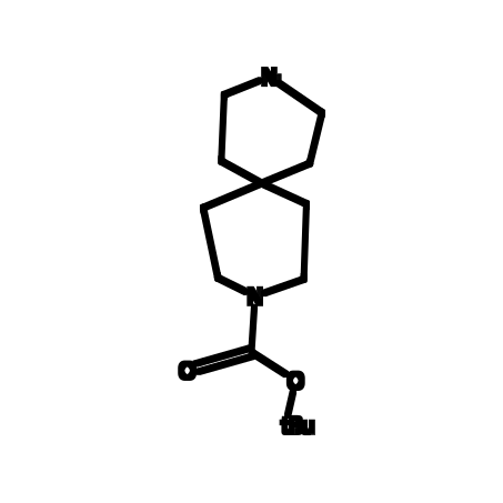 CC(C)(C)OC(=O)N1CCC2(CC[N]CC2)CC1